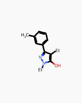 CCc1c(-c2cccc(C)c2)nn(CC)c1O